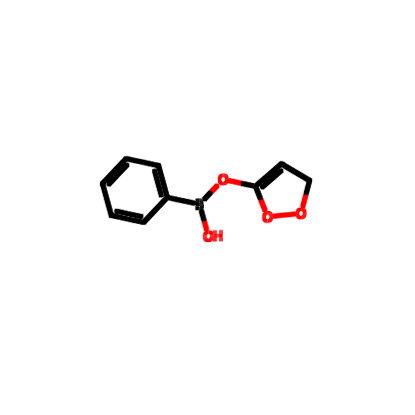 OB(OC1=CCOO1)c1ccccc1